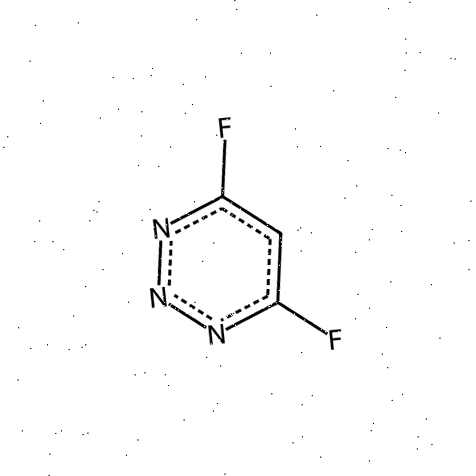 Fc1cc(F)nnn1